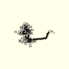 CCCCCC/C=C\CCCCCCCCCC(=O)N[C@H]1C(O)[C@H](O)C(COC(C)=O)O[C@H]1O[C@@H]1C(CO)O[C@@H](O[C@@H]2C(CO)O[C@@H](O[C@@H]3C(COS(=O)(=O)O)O[C@@H](O)[C@@H](NC(C)=O)C3O)C(NC(C)=O)C2O)C(NC(C)=O)C1O